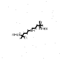 CCCCCCC(C)(CC)CCCNCCCC(C)(CC)CCCCCC